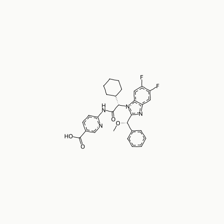 CO[C@@H](c1ccccc1)c1nc2cc(F)c(F)cc2n1[C@H](C(=O)Nc1ccc(C(=O)O)cn1)C1CCCCC1